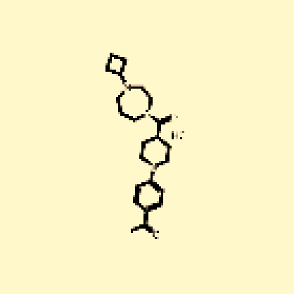 CC(=O)c1ccc(N2CCC(C(=O)N3CCCN(C4CCC4)CC3)CC2)cc1.Cl